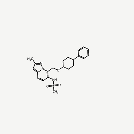 Cc1cc2ccc(NS(C)(=O)=O)c(COC3CCC(c4ccccc4)CC3)n2n1